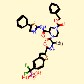 CC(C)(C)C(NC(=O)c1cc2cc(C(F)(F)P(=O)(O)O)ccc2s1)C(=O)N1CCN(C(=O)OCc2ccccc2)CC1C(=O)Nc1ncc(-c2ccccc2)s1